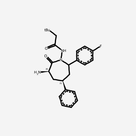 CC(C)(C)CC(=O)NN1C(=O)[C@H](N)C[C@H](c2ccccc2)CC1c1ccc(F)cc1